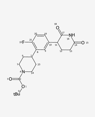 CC(C)(C)OC(=O)N1CCC(c2cc(C3CCC(=O)NC3=O)ccc2F)CC1